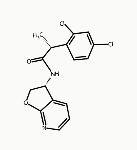 C[C@@H](C(=O)N[C@H]1COc2ncccc21)c1ccc(Cl)cc1Cl